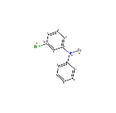 CCN(c1cc[c]cc1)c1cccc(Br)c1